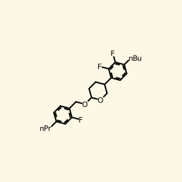 CCCCc1ccc(C2CCC(OCc3ccc(CCC)cc3F)OC2)c(F)c1F